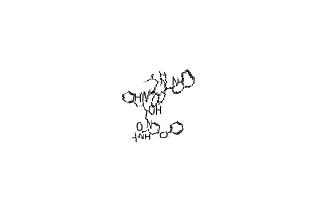 CC(C)[C@H](NC(=O)c1ccc2ccccc2n1)C(=O)N[C@@H](Cc1ccccc1)[C@H](O)CN1CC[C@@H](Oc2ccccc2)C[C@H]1C(=O)NC(C)(C)C